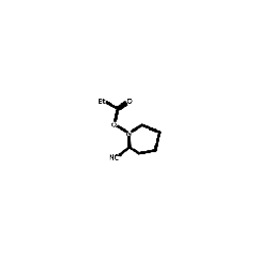 CCC(=O)ON1CCCCC1C#N